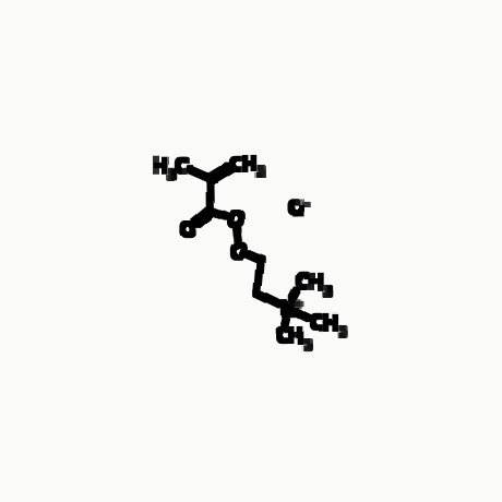 C=C(C)C(=O)OOCC[N+](C)(C)C.[Cl-]